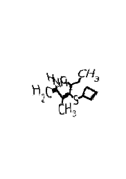 C=C(N)/C(C)=C(/SC1CCC1)C(C)CC